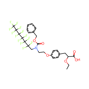 CCOC(Cc1ccc(OCCN(CC(F)(F)C(F)(F)C(F)(F)C(F)(F)C(F)(F)C(F)(F)F)C(=O)OCc2ccccc2)cc1)C(=O)O